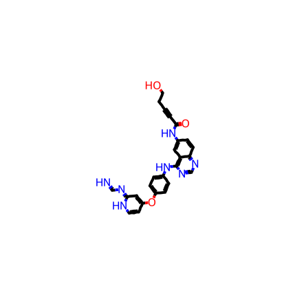 N=C/N=c1/cc(Oc2ccc(Nc3ncnc4ccc(NC(=O)C#CCCO)cc34)cc2)cc[nH]1